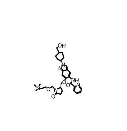 C[Si](C)(C)CCOCN1C(=O)CC[C@@H]1COc1cc2nn(C3CCC(CO)CC3)cc2cc1NC(=O)c1ccccn1